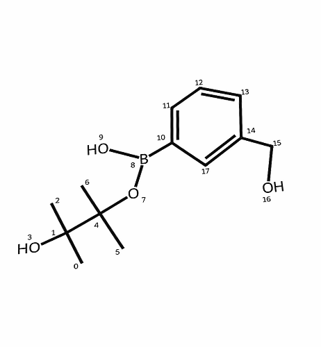 CC(C)(O)C(C)(C)OB(O)c1cccc(CO)c1